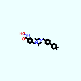 CC1CN(Cc2ccc(C3=CCC(C)(C)CC3)cc2)CC(C)N1Cc1ccc(C(=O)NO)cc1